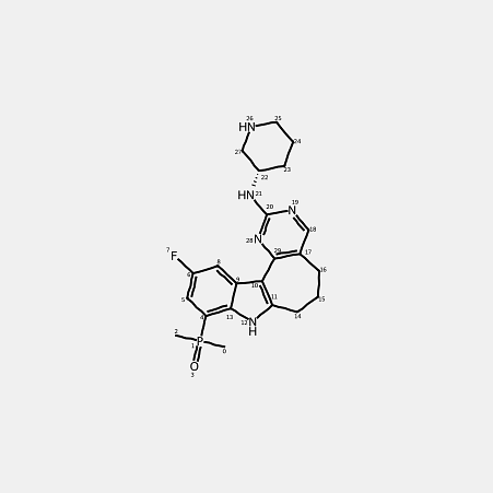 CP(C)(=O)c1cc(F)cc2c3c([nH]c12)CCCc1cnc(N[C@H]2CCCNC2)nc1-3